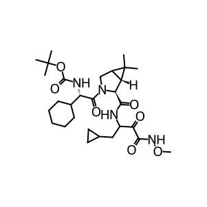 CONC(=O)C(=O)C(CC1CC1)NC(=O)[C@@H]1[C@@H]2C(CN1C(=O)[C@@H](NC(=O)OC(C)(C)C)C1CCCCC1)C2(C)C